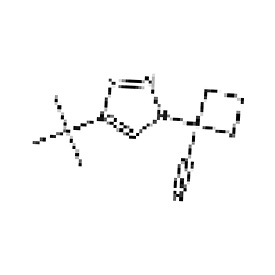 CC(C)(C)c1cn(C2(C#N)CCC2)nn1